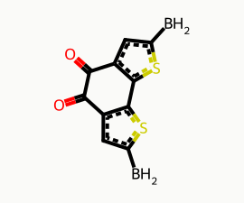 Bc1cc2c(s1)-c1sc(B)cc1C(=O)C2=O